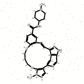 CN1CCC(NC(=O)c2ccc3c(c2)/C=C/c2n[nH]c4cnc(cc24)-c2cnn(C)c2OCCCO3)CC1